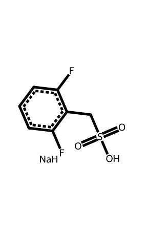 O=S(=O)(O)Cc1c(F)cccc1F.[NaH]